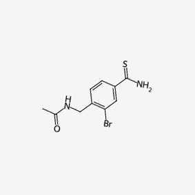 CC(=O)NCc1ccc(C(N)=S)cc1Br